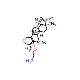 CC(=O)O[C@@H]1C[C@]23COC[C@](C)([C@@H]2CC[C@H]2C3=CC[C@@]3(C)[C@H](C(=O)O)[C@@](C)([C@H](C)C(C)C)CC[C@]23C)[C@H]1OCCN